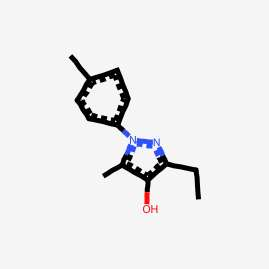 CCc1nn(-c2ccc(C)cc2)c(C)c1O